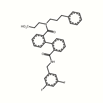 O=C(O)CCN(CCCc1ccccc1)C(=O)c1ccccc1-c1ccccc1C(=O)NCc1cc(F)cc(F)c1